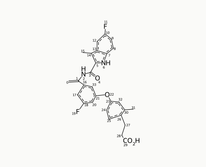 C=C(NC(=O)c1[nH]c2ccc(F)cc2c1C)c1cc(F)cc(Oc2ccc(CCC(=O)O)c(C)c2)c1